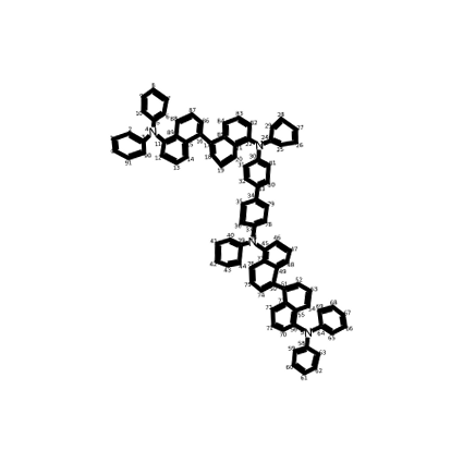 c1ccc(N(c2ccccc2)c2cccc3c(-c4cccc5c(N(c6ccccc6)c6ccc(-c7ccc(N(c8ccccc8)c8cccc9c(-c%10cccc%11c(N(c%12ccccc%12)c%12ccccc%12)cccc%10%11)cccc89)cc7)cc6)cccc45)cccc23)cc1